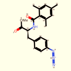 COC(=O)[C@H](Cc1ccc(N=[N+]=[N-])cc1)NC(=O)c1c(C)cc(C)cc1C